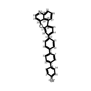 Brc1ccc(-c2ccc(-c3ccc(-c4ccc5c(c4)Oc4ccnc6cccc-5c46)cc3)cc2)cc1